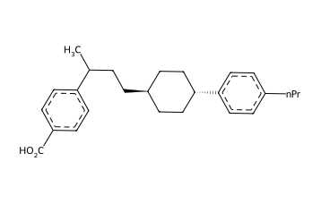 CCCc1ccc([C@H]2CC[C@H](CCC(C)c3ccc(C(=O)O)cc3)CC2)cc1